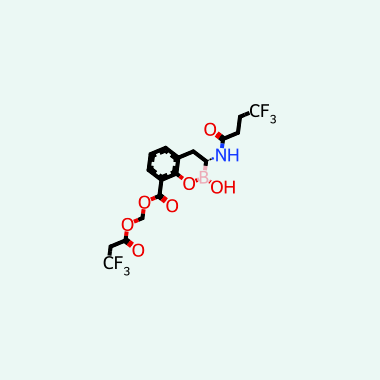 O=C(CCC(F)(F)F)N[C@H]1Cc2cccc(C(=O)OCOC(=O)CC(F)(F)F)c2OB1O